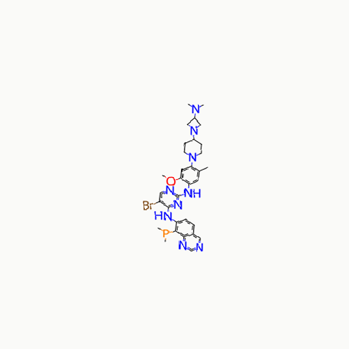 COc1cc(N2CCC(N3CC(N(C)C)C3)CC2)c(C)cc1Nc1ncc(Br)c(Nc2ccc3cncnc3c2P(C)C)n1